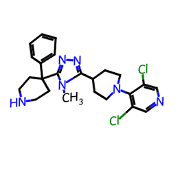 Cn1c(C2CCN(c3c(Cl)cncc3Cl)CC2)nnc1C1(c2ccccc2)CCNCC1